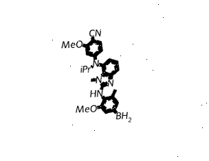 Bc1cc(C)c(Nc2nc3cccc(N(c4ccc(C#N)c(OC)c4)C(C)C)c3n2C)c(OC)c1